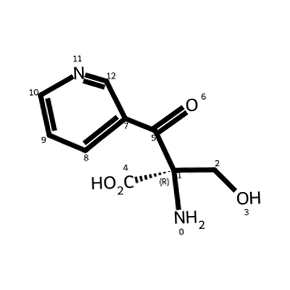 N[C@@](CO)(C(=O)O)C(=O)c1cccnc1